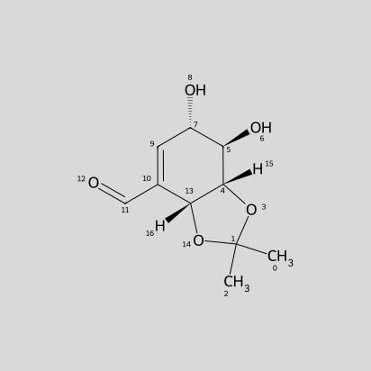 CC1(C)O[C@H]2[C@H](O)[C@@H](O)C=C(C=O)[C@H]2O1